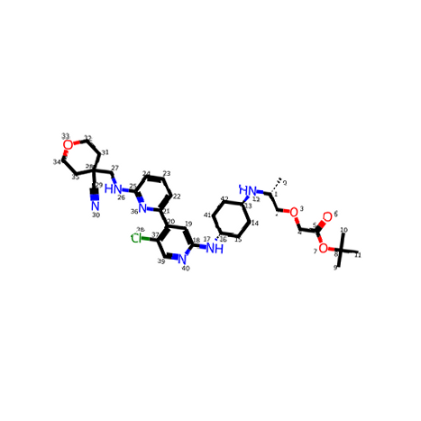 C[C@H](COCC(=O)OC(C)(C)C)N[C@H]1CC[C@H](Nc2cc(-c3cccc(NCC4(C#N)CCOCC4)n3)c(Cl)cn2)CC1